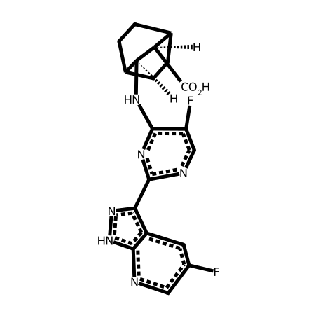 O=C(O)[C@@H]1C2CCC(CC2)[C@@H]1Nc1nc(-c2n[nH]c3ncc(F)cc23)ncc1F